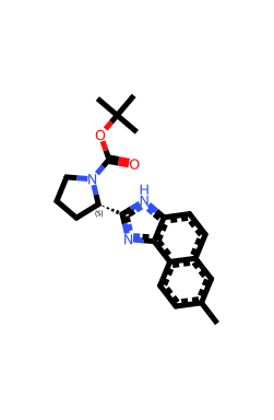 Cc1ccc2c(ccc3[nH]c([C@@H]4CCCN4C(=O)OC(C)(C)C)nc32)c1